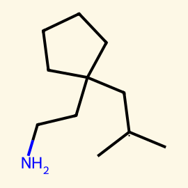 C[C](C)CC1(CCN)CCCC1